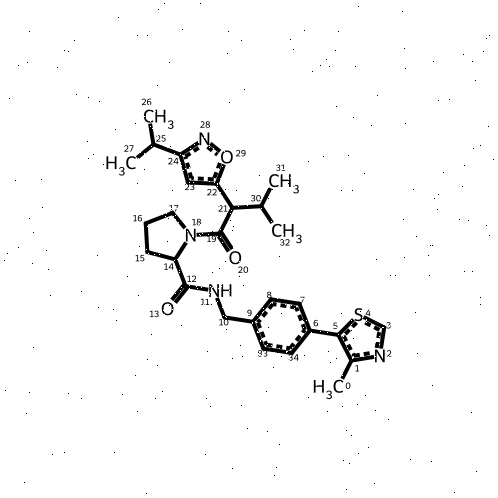 Cc1ncsc1-c1ccc(CNC(=O)C2CCCN2C(=O)C(c2cc(C(C)C)no2)C(C)C)cc1